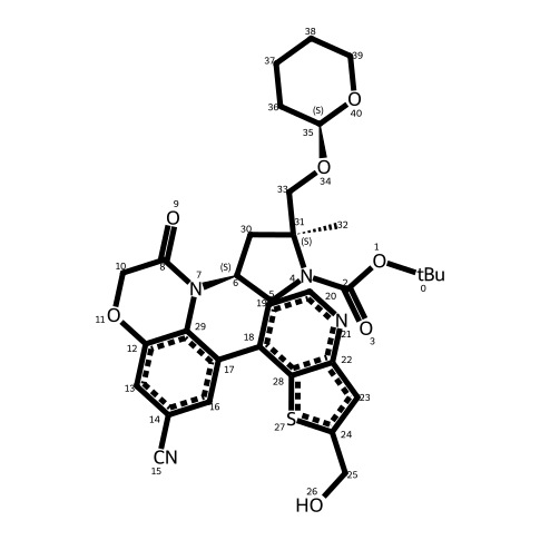 CC(C)(C)OC(=O)N1C[C@@H](N2C(=O)COc3cc(C#N)cc(-c4ccnc5cc(CO)sc45)c32)C[C@@]1(C)CO[C@H]1CCCCO1